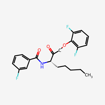 CCCCC[C@H](NC(=O)c1cccc(F)c1)C(=O)COc1c(F)cccc1F